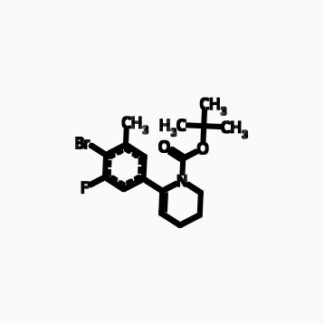 Cc1cc(C2=CCCCN2C(=O)OC(C)(C)C)cc(F)c1Br